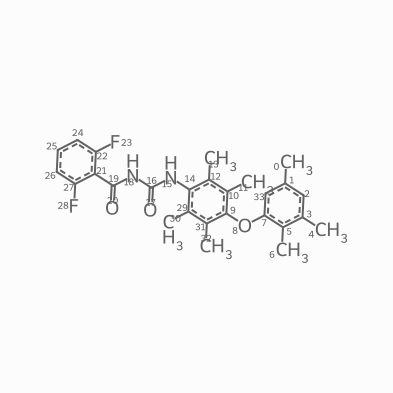 Cc1cc(C)c(C)c(Oc2c(C)c(C)c(NC(=O)NC(=O)c3c(F)cccc3F)c(C)c2C)c1